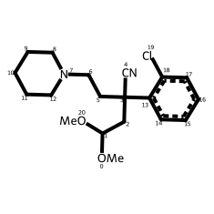 COC(CC(C#N)(CCN1CCCCC1)c1ccccc1Cl)OC